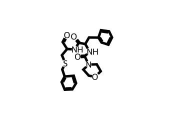 O=CC(CSCc1ccccc1)NC(=O)C(Cc1ccccc1)NC(=O)N1CCOCC1